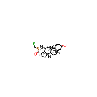 C[C@]12CC[C@H]3[C@@](C)(CCC4=CC(=O)C=C[C@@]43C)[C@@H]1CC[C@@H]2C(=O)SCF